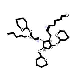 CCCCC[C@@H](/C=C/[C@@H]1[C@@H](C/C=C\CCCC=O)[C@@H](OC2CCCCO2)C[C@H]1OC1CCCCO1)OC1CCCCO1